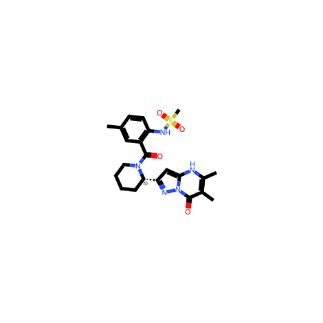 Cc1ccc(NS(C)(=O)=O)c(C(=O)N2CCCC[C@H]2c2cc3[nH]c(C)c(C)c(=O)n3n2)c1